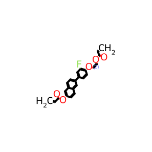 C=CC(=O)O/C=C\Oc1ccc(-c2ccc3cc(OC(=O)C=C)ccc3c2)cc1F